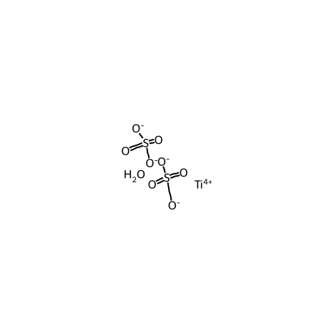 O.O=S(=O)([O-])[O-].O=S(=O)([O-])[O-].[Ti+4]